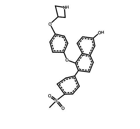 CS(=O)(=O)c1ccc(-c2ccc3cc(O)ccc3c2Oc2ccc(OC3CNC3)cc2)cc1